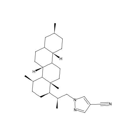 C[C@H]1CC[C@H]2C(CC[C@@H]3C2CC[C@@]2(C)C3[C@H](C)CC[C@@H]2[C@H](C)Cn2cc(C#N)cn2)C1